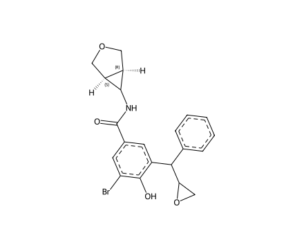 O=C(NC1[C@H]2COC[C@@H]12)c1cc(Br)c(O)c(C(c2ccccc2)C2CO2)c1